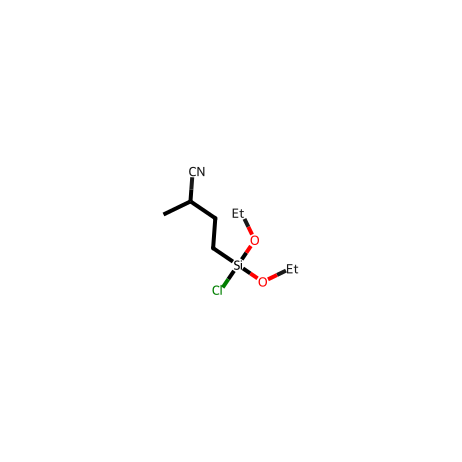 CCO[Si](Cl)(CCC(C)C#N)OCC